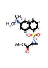 COC(=O)C1CN1S(=O)(=O)c1cccc2cc(N(C)C)ccc12